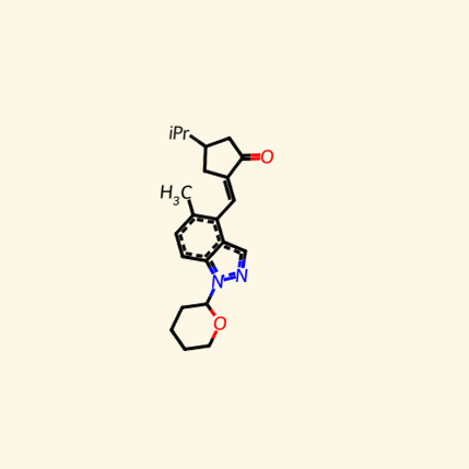 Cc1ccc2c(cnn2C2CCCCO2)c1/C=C1\CC(C(C)C)CC1=O